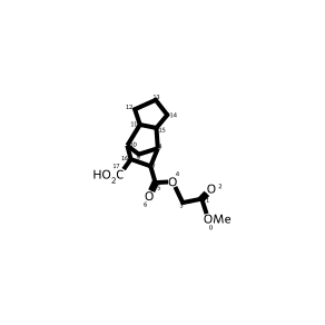 COC(=O)COC(=O)C1C2CC(C3CCCC32)C1C(=O)O